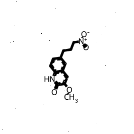 COc1cc2cc(CCC[N+](=O)[O-])ccc2[nH]c1=O